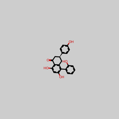 O=C1C[C@@H](c2ccc(O)cc2)Cc2c1c(O)cc(O)c2-c1ccccc1O